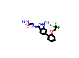 CN1N=C(NCC(N)=O)C2=CC=C(c3ccccc3OCC(F)(F)F)CC21